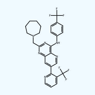 FC(F)(F)c1ccc(Nc2nc(CN3CCCCCC3)nc3cc(-c4ncccc4C(F)(F)F)cnc23)cc1